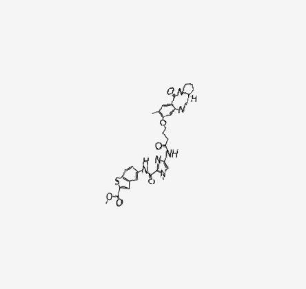 COC(=O)c1cc2cc(NC(=O)c3nc(NC(=O)CCCOc4cc5c(cc4C)C(=O)N4CCC[C@H]4C=N5)cn3C)ccc2s1